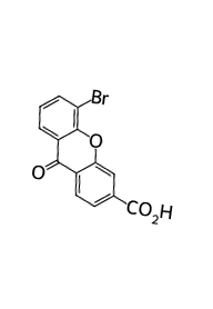 O=C(O)c1ccc2c(=O)c3cccc(Br)c3oc2c1